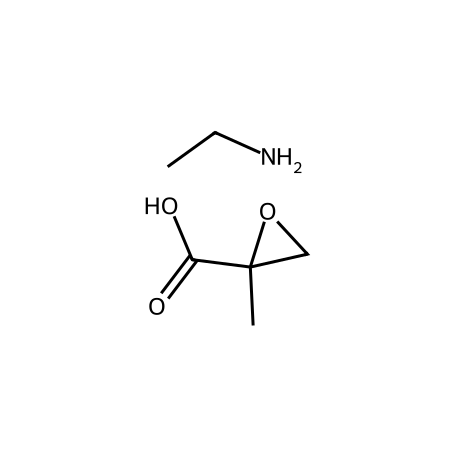 CC1(C(=O)O)CO1.CCN